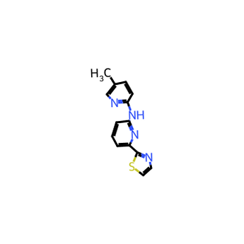 Cc1ccc(Nc2cccc(-c3nccs3)n2)nc1